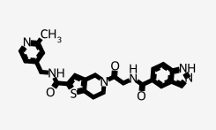 Cc1cc(CNC(=O)c2cc3c(s2)CCN(C(=O)CNC(=O)c2ccc4[nH]ncc4c2)C3)ccn1